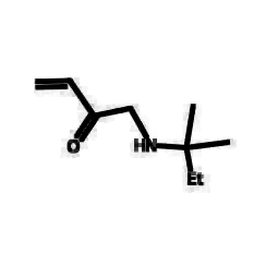 C=CC(=O)CNC(C)(C)CC